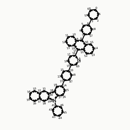 c1ccc(-c2ccc(-c3c4ccccc4c(-c4ccc(-c5ccc(-c6ccc7c(c6)c6cc8ccccc8cc6n7-c6ccccc6)cc5)cn4)c4ccccc34)cc2)cc1